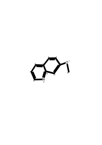 COc1[c]cc2cccnc2c1